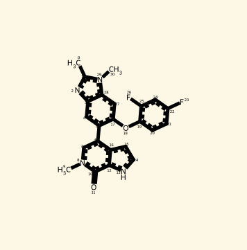 Cc1nc2cc(-c3cn(C)c(=O)c4[nH]ccc34)c(Oc3ccc(F)cc3F)cc2n1C